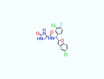 O=C1NC[C@@H](C(=O)NC(c2ccc(F)c(Cl)c2)c2cc3cc(Cl)ccc3o2)N1